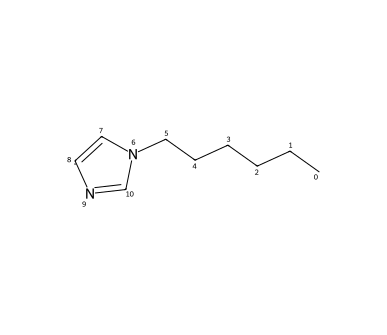 CCCCCCn1c[c]nc1